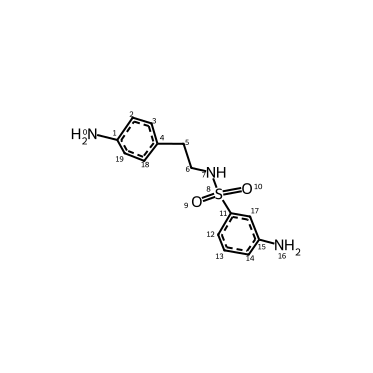 Nc1ccc(CCNS(=O)(=O)c2cccc(N)c2)cc1